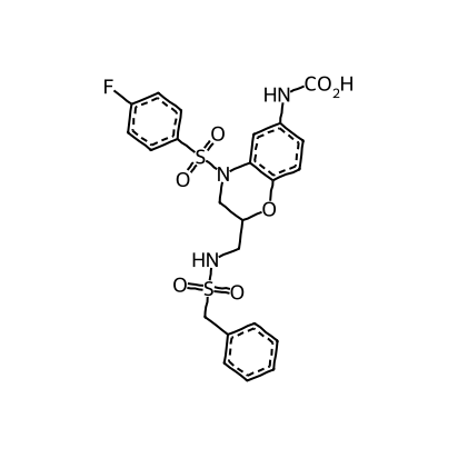 O=C(O)Nc1ccc2c(c1)N(S(=O)(=O)c1ccc(F)cc1)CC(CNS(=O)(=O)Cc1ccccc1)O2